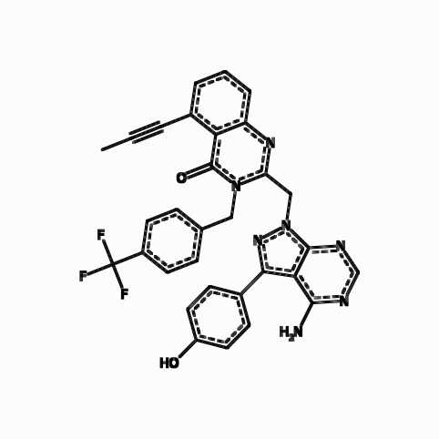 CC#Cc1cccc2nc(Cn3nc(-c4ccc(O)cc4)c4c(N)ncnc43)n(Cc3ccc(C(F)(F)F)cc3)c(=O)c12